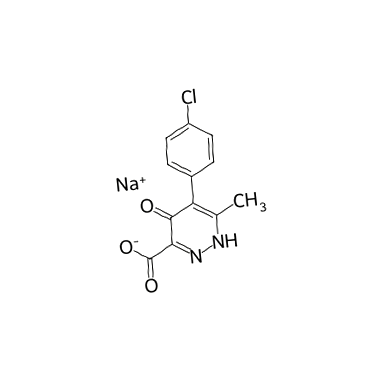 Cc1[nH]nc(C(=O)[O-])c(=O)c1-c1ccc(Cl)cc1.[Na+]